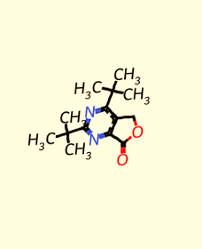 CC(C)(C)c1nc2c(c(C(C)(C)C)n1)COC2=O